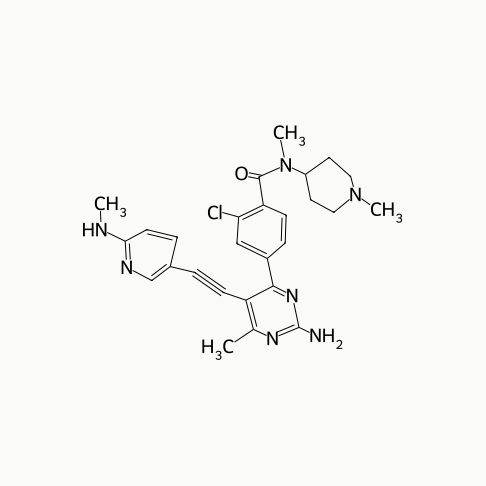 CNc1ccc(C#Cc2c(C)nc(N)nc2-c2ccc(C(=O)N(C)C3CCN(C)CC3)c(Cl)c2)cn1